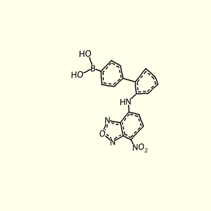 O=[N+]([O-])c1ccc(Nc2ccccc2-c2ccc(B(O)O)cc2)c2nonc12